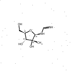 C[C@]1(O)[C@H](NC=N)O[C@H](CO)[C@H]1O